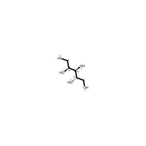 OC[C@H](O)[C@H](O)[C@@H](O)CS